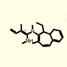 C=C/C(C)=C(\NC)N(C)C1=C(C)C=CC2=CC=CCC2C1CC